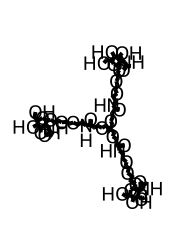 CC(=O)NC1C(OCCOCCOCCNC(=O)CCOCC(C)(COCCC(=O)NCCOCCOCCOC2OC(CO)C(O)C(O)C2NC(C)=O)COCCC(=O)NCCOCCOCCOC2OC(CO)C(O)C(OI)C2NC(C)=O)OC(CO)C(O)C1O